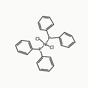 [Cl][Ni]([Cl])([P](c1ccccc1)c1ccccc1)[P](c1ccccc1)c1ccccc1